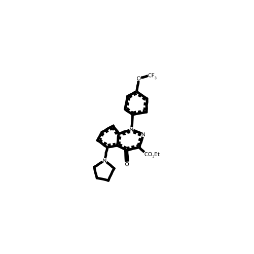 CCOC(=O)c1nn(-c2ccc(OC(F)(F)F)cc2)c2cccc(N3CCCC3)c2c1=O